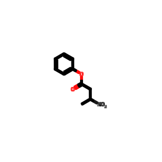 CC(CC(=O)Oc1ccccc1)[N+](=O)[O-]